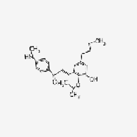 CC=CCc1cc(O)c(OC(C)C)c(C=CC(=O)c2ccc(NC)cc2)c1